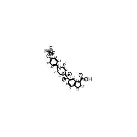 C[C@H]1CN(S(=O)(=O)c2ccc3c(c2)C(C(=O)O)CC3)CCN1c1ccc(OC(F)(F)F)cc1